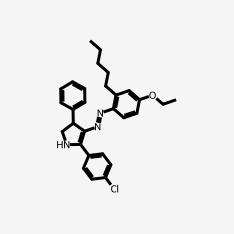 CCCCCc1cc(OCC)ccc1N=NC1=C(c2ccc(Cl)cc2)NCC1c1ccccc1